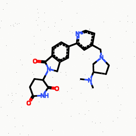 CN(C)C1CCN(Cc2ccnc(-c3ccc4c(c3)CN(C3CCC(=O)NC3=O)C4=O)c2)C1